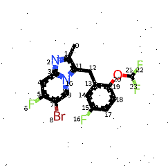 Cc1nc2cc(F)c(Br)cn2c1Cc1cc(F)ccc1OC(F)F